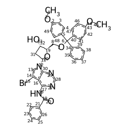 COc1ccc(C(OC[C@H]2O[C@H](n3cc(Br)c4c(NC(=O)c5ccccc5)ncnc43)C[C@@H]2O)(c2ccccc2)c2ccc(OC)cc2)cc1